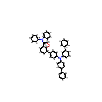 c1ccc(-c2ccc(N(c3ccc(-c4cccc5c4oc4c6ccccc6n(-c6ccccc6)c54)cc3)c3cccc(-c4ccccc4)c3)cc2)cc1